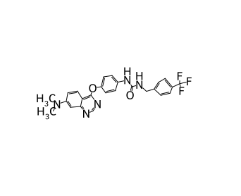 CN(C)c1ccc2c(Oc3ccc(NC(=O)NCc4ccc(C(F)(F)F)cc4)cc3)ncnc2c1